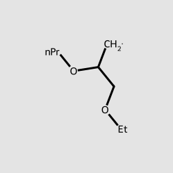 [CH2]C(COCC)OCCC